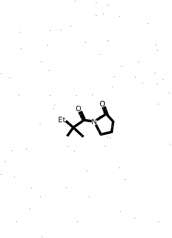 CCC(C)(C)C(=O)N1CCCC1=O